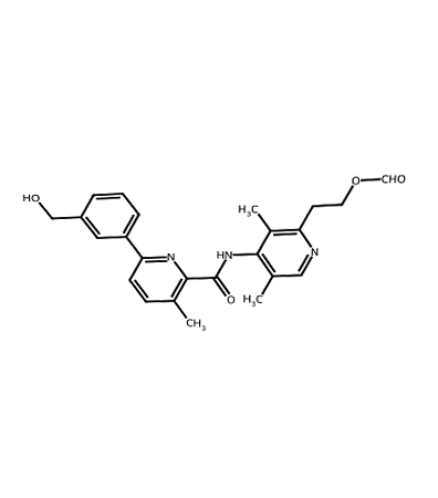 Cc1ccc(-c2cccc(CO)c2)nc1C(=O)Nc1c(C)cnc(CCOC=O)c1C